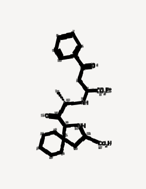 CCOC(=O)C(CC(=O)c1ccccc1)N[C@@H](C)C(=O)C1NC(C(=O)O)CC12CCCCC2